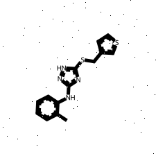 Cc1ccccc1Nc1n[nH]c(SCc2ccsc2)n1